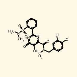 CN(Cc1ccc(Cl)c(Cl)c1)C(=O)c1nc(-c2ccccc2S(=O)(=O)N(C)C)[nH]c(=O)c1O